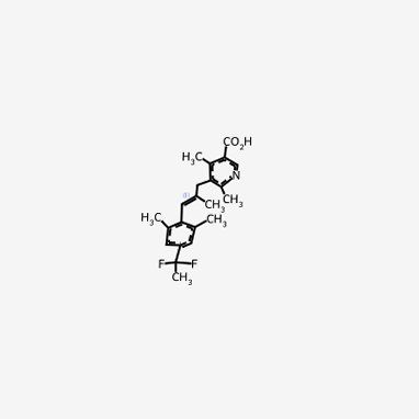 C/C(=C\c1c(C)cc(C(C)(F)F)cc1C)Cc1c(C)ncc(C(=O)O)c1C